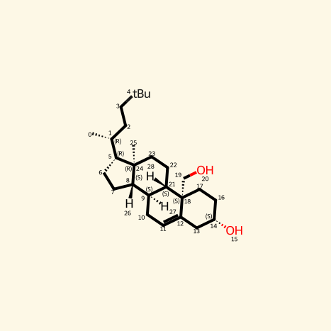 C[C@H](CCC(C)(C)C)[C@H]1CC[C@H]2[C@@H]3CC=C4C[C@@H](O)CC[C@]4(CO)[C@H]3CC[C@]12C